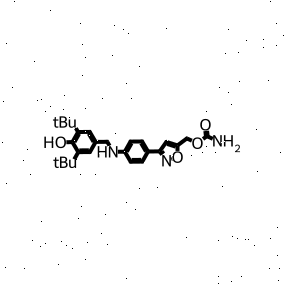 CC(C)(C)c1cc(CNc2ccc(-c3cc(COC(N)=O)on3)cc2)cc(C(C)(C)C)c1O